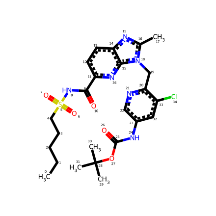 CCCCCS(=O)(=O)NC(=O)c1ccc2nc(C)n(Cc3ncc(NC(=O)OC(C)(C)C)cc3Cl)c2n1